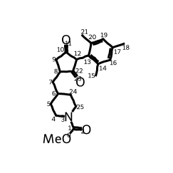 COC(=O)N1CCC(CC2CC(=O)C(c3c(C)cc(C)cc3C)C2=O)CC1